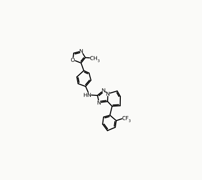 Cc1ncoc1-c1ccc(Nc2nc3c(-c4ccccc4C(F)(F)F)cccn3n2)cc1